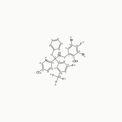 Oc1c(CNC(Cc2ccccc2)(c2cc(F)cc(C(F)(F)F)c2)c2ccc(Cl)cn2)cc(Br)c(F)c1Br